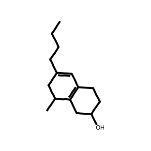 CCCCC1=CC2=C(CC(O)CC2)C(C)C1